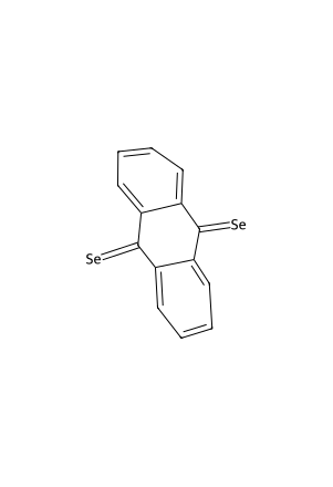 [Se]=C1c2ccccc2C(=[Se])c2ccccc21